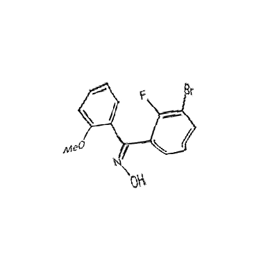 COc1ccccc1C(=NO)c1cccc(Br)c1F